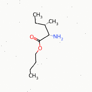 CCCCOC(=O)[C@@H](N)[C@@H](C)CC